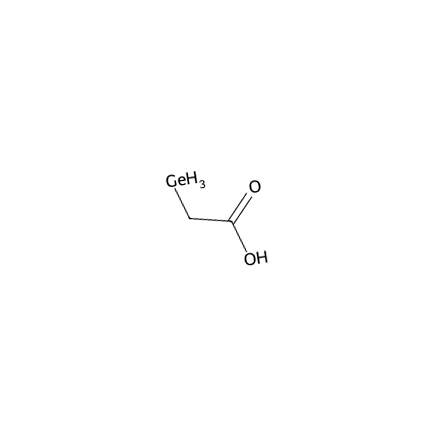 O=C(O)[CH2][GeH3]